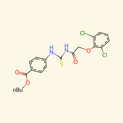 CCCCOC(=O)c1ccc(NC(=S)NC(=O)COc2c(Cl)cccc2Cl)cc1